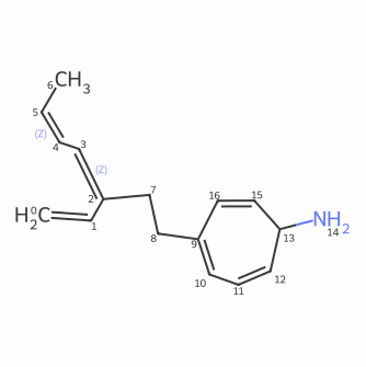 C=C/C(=C\C=C/C)CCC1=CC=CC(N)C=C1